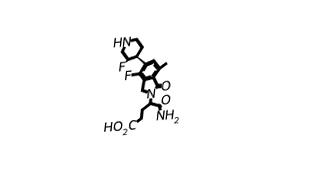 Cc1cc([C@@H]2CCNC[C@@H]2F)c(F)c2c1C(=O)N(C(CCC(=O)O)C(N)=O)C2